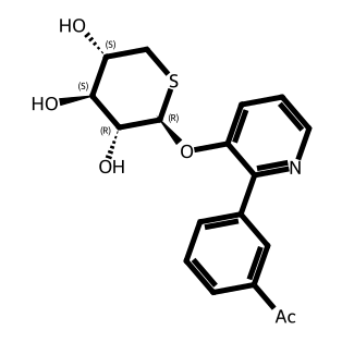 CC(=O)c1cccc(-c2ncccc2O[C@@H]2SC[C@@H](O)[C@H](O)[C@H]2O)c1